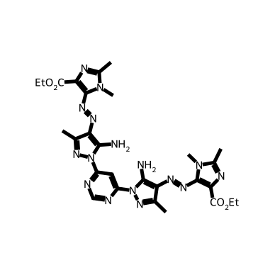 CCOC(=O)c1nc(C)n(C)c1/N=N/c1c(C)nn(-c2cc(-n3nc(C)c(/N=N/c4c(C(=O)OCC)nc(C)n4C)c3N)ncn2)c1N